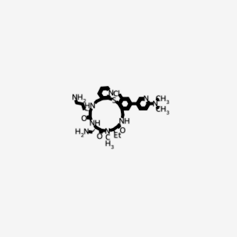 CC[C@H]1C(=O)NCc2cc(-c3ccc(N(C)C)nc3)cc(Cl)c2Sc2ncccc2CN[C@@H](CCCN)C(=O)N[C@@H](CN)C(=O)N1C